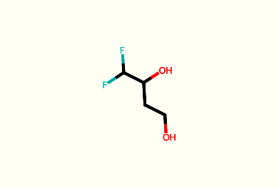 OCCC(O)C(F)F